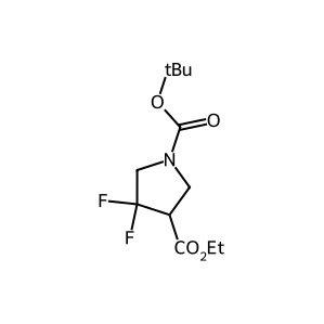 CCOC(=O)C1CN(C(=O)OC(C)(C)C)CC1(F)F